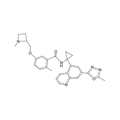 Cc1nnc(-c2cc(C3(NC(=O)c4cc(OCC5CCN5C)ccc4C)CC3)c3cccnc3c2)o1